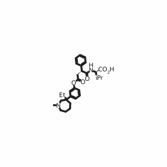 CCC1(c2cccc(OC(=O)C[C@@H](C(=O)N[C@H](C(=O)O)C(C)C)c3ccccc3)c2)CCCCN(C)C1